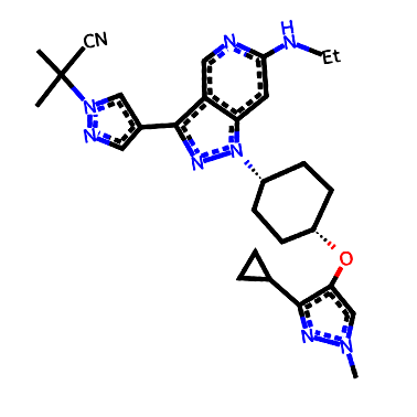 CCNc1cc2c(cn1)c(-c1cnn(C(C)(C)C#N)c1)nn2[C@H]1CC[C@@H](Oc2cn(C)nc2C2CC2)CC1